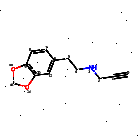 C#CCNCCc1ccc2c(c1)OCO2